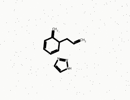 C=CCC1C=CC=CC1=C.c1c[nH]nn1